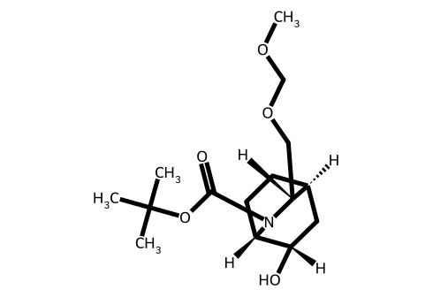 COCOC[C@@H]1[C@H]2CC[C@@H]([C@@H](O)C2)N1C(=O)OC(C)(C)C